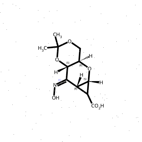 CC1(C)OC[C@H]2O[C@@H]3C(C(=O)O)[C@@H]3/C(=N\O)[C@@H]2O1